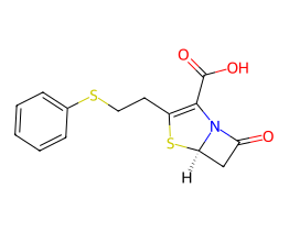 O=C(O)C1=C(CCSc2ccccc2)S[C@@H]2CC(=O)N12